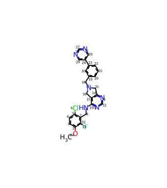 COc1ccc(Cl)c(CNc2ncnc3c2CN(Cc2cccc(-c4cncnc4)c2)C3)c1F